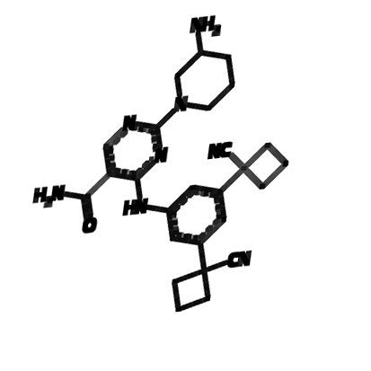 N#CC1(c2cc(Nc3nc(N4CCCC(N)C4)ncc3C(N)=O)cc(C3(C#N)CCC3)c2)CCC1